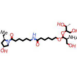 COC[C@@H]1C[C@@H](O)CN1C(=O)CCCCCNC(=O)CCCCCOC(OC(CO)[C@@H](C)O)[C@H](CO)NC(C)=O